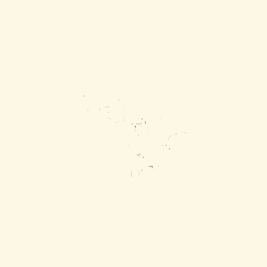 COC1C(=O)NCC2c3c1nn(-c1ccc(C4CCC4)cc1)c3CCN2C(=O)O